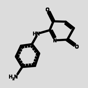 Nc1ccc(NC2=NC(=O)C=CC2=O)cc1